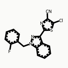 N#Cc1nc(-c2nn(Cc3ccccc3F)c3ccccc23)sc1Cl